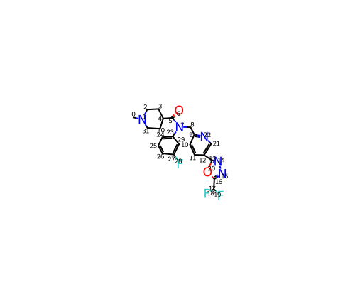 CN1CCC(C(=O)N(Cc2ccc(-c3nnc(C(F)F)o3)cn2)c2cccc(F)c2)CC1